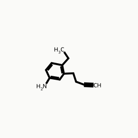 C#CCCc1cc(N)ccc1CC